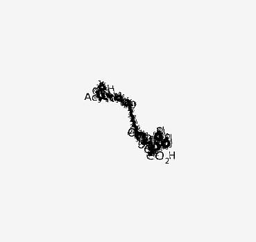 CC(=O)c1c(C)c2cnc(Nc3ccc(N4CCN(C(=O)CCCCCCCCC(=O)N5CCN(S(=O)(=O)C[C@@H](N6C(=O)[C@@](C)(CC(=O)O)C[C@H](c7cccc(Cl)c7)[C@H]6c6ccc(Cl)cc6)C(C)(C)C)CC5)CC4)cn3)nc2n(C2CCCC2)c1=O